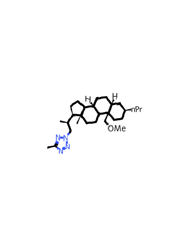 CCC[C@H]1CC[C@]2(COC)C3CC[C@@]4(C)C(CC[C@@H]4[C@H](C)Cn4nnc(C)n4)[C@@H]3CC[C@@H]2C1